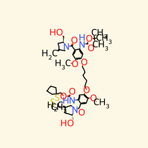 C=C1C[C@@H](CO)N(C(=O)c2cc(OC)c(OCCCCCOc3cc(NC(=O)OC(C)(C)C)c(C(=O)N4CC(=C)C[C@H]4CO)cc3OC)cc2NC(=O)OCC2(SSC)CCCC2)C1